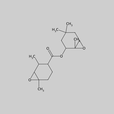 CC1C(C(=O)OC2CC(C)(C)CC3OC23C)CCC2(C)OC12